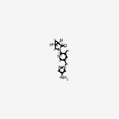 Cc1cc(Cn2cc(N)cn2)cnc1N1C[C@H]2C[C@H]2C1=O